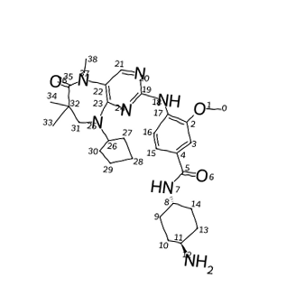 COc1cc(C(=O)N[C@H]2CC[C@H](N)CC2)ccc1Nc1ncc2c(n1)N(C1CCCC1)CC(C)(C)C(=O)N2C